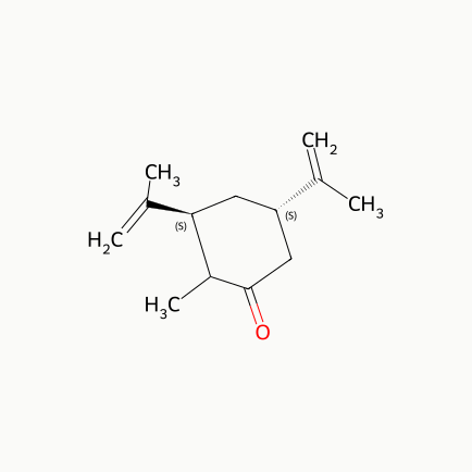 C=C(C)[C@@H]1CC(=O)C(C)[C@@H](C(=C)C)C1